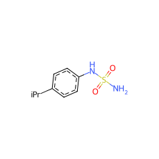 CC(C)c1ccc(NS(N)(=O)=O)cc1